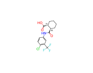 O=C(O)[C@H]1CCCC[C@H]1C(=O)Nc1ccc(Cl)c(C(F)(F)F)c1